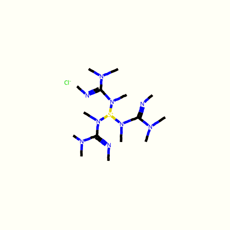 CN=C(N(C)C)N(C)[S+](N(C)C(=NC)N(C)C)N(C)C(=NC)N(C)C.[Cl-]